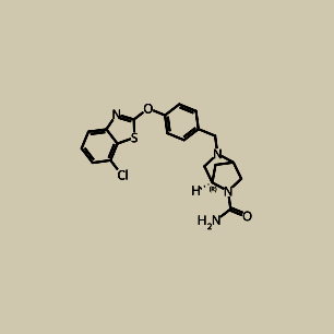 NC(=O)N1CC2C[C@@H]1CN2Cc1ccc(Oc2nc3cccc(Cl)c3s2)cc1